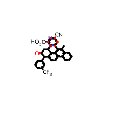 Cc1c(-c2ccnc(C(=O)O)n2)c2c3c(ccc2c2ccccc12)C(c1cccc(C(F)(F)F)c1)C(=O)CC3c1ccc(C#N)cc1